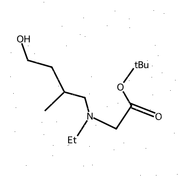 CCN(CC(=O)OC(C)(C)C)CC(C)CCO